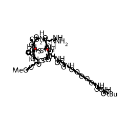 COCCOCCCC(=O)[C@@H]1CSCC(=O)N[C@@H](CCCCNC(=O)COCC(=O)NCCOCCOCCOCCOCCOCCNC(=O)CONC(=O)OC(C)(C)C)C(=O)N[C@H]2CSSC[C@H](NC(=O)[C@H](CC(=O)O)CC(=O)CNC(=O)[C@H](CCCNC(=N)N)CC2=O)C(=O)C[C@@H](Cc2ccccc2)C(=O)N1